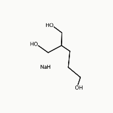 OCCCC(CO)CO.[NaH]